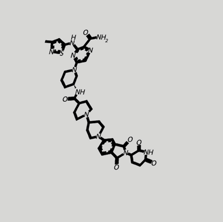 Cc1cc(Nc2nc(N3CCC[C@@H](NC(=O)C4CCN(C5CCN(c6ccc7c(c6)C(=O)N(C6CCC(=O)NC6=O)C7=O)CC5)CC4)C3)cnc2C(N)=O)sn1